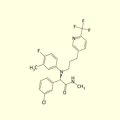 CNC(=O)[C@@H](c1cccc(Cl)c1)N(CCCc1ccc(C(F)(F)F)nc1)c1ccc(F)c(C)c1